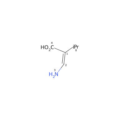 CC(C)C(=CN)C(=O)O